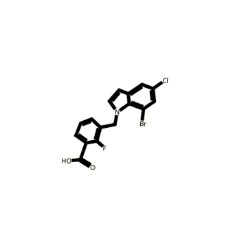 O=C(O)c1cccc(Cn2ccc3cc(Cl)cc(Br)c32)c1F